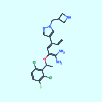 C=C/C(=C\C(OC(C)c1c(Cl)ccc(F)c1Cl)=C(N)N)c1cnn(CC2CNC2)c1